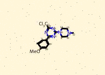 COc1ccc(-c2nc(N3CCN(C)CC3)nc(C(Cl)(Cl)Cl)n2)cc1